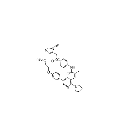 CCCCOCCOc1ccc(-c2cnc(N3CCCC3)c(C=C(C)C(=O)Nc3ccc([S@@+]([O-])Cc4cncn4CCC)cc3)c2)cc1